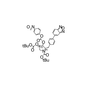 CC(C)(C)OC(=O)O[C@H]1CN(C(=O)OC(C)(C)C)[C@H](Cc2ccc(-c3ccc4nonc4c3)cc2)[C@@H]1OC(=O)Oc1ccc([N+](=O)[O-])cc1